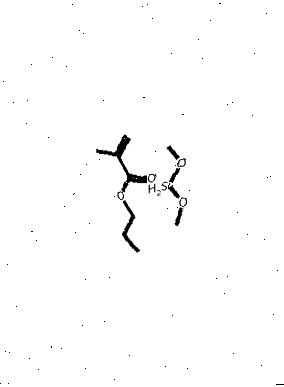 C=C(C)C(=O)OCCC.CO[SiH2]OC